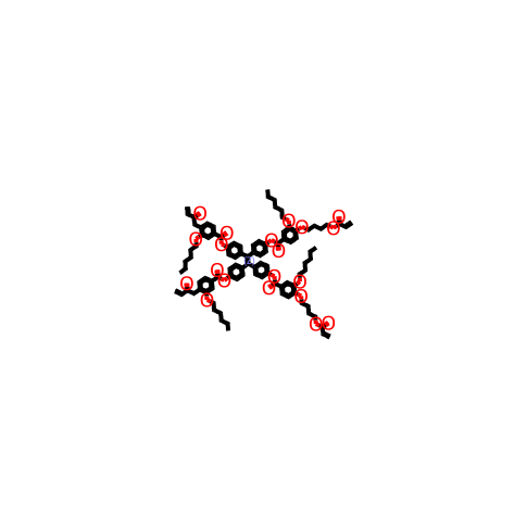 C=CC(=O)Cc1ccc(C(=O)Oc2ccc(/C(=C(\c3ccc(OC(=O)c4ccc(CC(=O)C=C)c(OCCCCCC)c4)cc3)c3ccc(OC(=O)c4ccc(OCCCCOC(=O)C=C)c(OCCCCCC)c4)cc3)c3ccc(OC(=O)c4ccc(OCCCCOC(=O)C=C)c(OCCCCCC)c4)cc3)cc2)cc1OCCCCCC